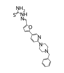 NC(=S)N/N=C/c1ccc(-c2ccc(N3CCN(Cc4ccccc4)CC3)nc2)o1